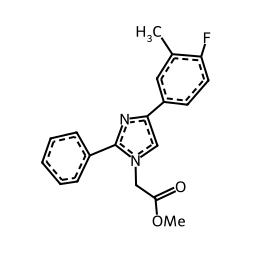 COC(=O)Cn1cc(-c2ccc(F)c(C)c2)nc1-c1ccccc1